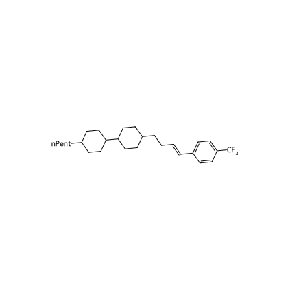 CCCCCC1CCC(C2CCC(CCC=Cc3ccc(C(F)(F)F)cc3)CC2)CC1